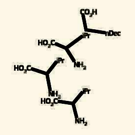 CC(C)C(N)C(=O)O.CC(C)C(N)C(=O)O.CC(C)C(N)C(=O)O.CCCCCCCCCCCC(=O)O